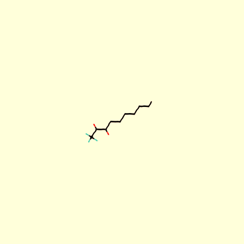 CCCCCCCC(O)C(O)C(F)(F)F